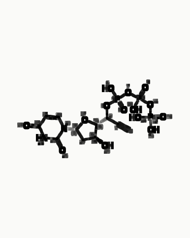 C#CC(OP(=O)(O)OP(=O)(O)OP(=O)(O)O)[C@H]1O[C@@H](n2ccc(=O)[nH]c2=O)C[C@@H]1O